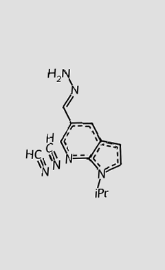 C#N.C#N.CC(C)n1ccc2cc(C=NN)cnc21